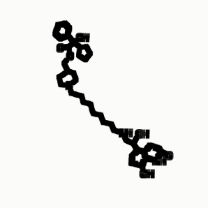 O=C(OCC1CCN(CCCCCCCCCNCC(O)c2ccc(O)c3[nH]c(=O)ccc23)CC1)C(O)(c1ccccc1)C1CCCC1